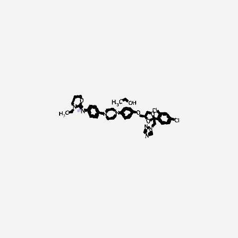 CCN1CCCO/C1=N\c1ccc(N2CCN(c3ccc(OCC4COC(Cn5cncn5)(c5ccc(Cl)cc5Cl)O4)cc3)CC2)cc1.CCO